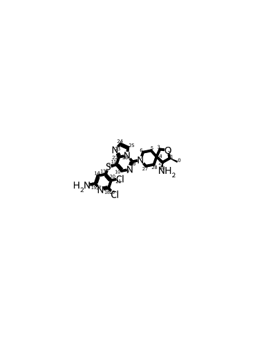 C[C@@H]1OCC2(CCN(c3ncc(Sc4cc(N)nc(Cl)c4Cl)c4nccn34)CC2)[C@@H]1N